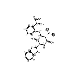 CCC(CC)[C@@H]1C(=O)NC(C2Cc3ccccc3C2)C(=O)N1Cc1ccccc1C(=O)NC